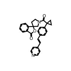 O=C1OC2(CCN(C(=O)C3(c4ccc(C=Cc5ccncc5)cc4)CC3)C2)c2ccccc21